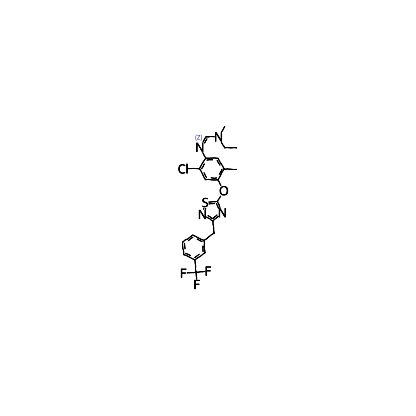 CCN(C)/C=N\c1cc(C)c(Oc2nc(Cc3cccc(C(F)(F)F)c3)ns2)cc1Cl